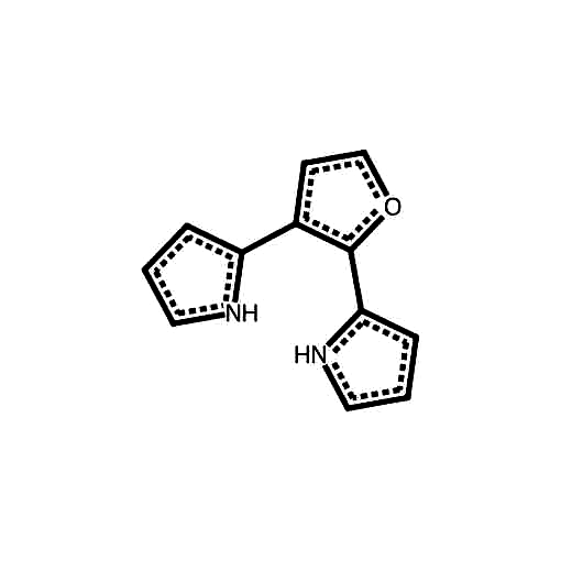 c1c[nH]c(-c2ccoc2-c2ccc[nH]2)c1